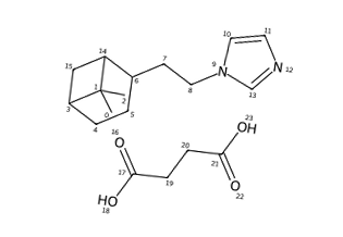 CC1(C)C2CCC(CCn3ccnc3)C1C2.O=C(O)CCC(=O)O